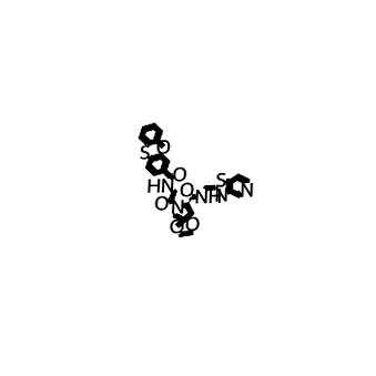 O=C(NCC(=O)N1CC2(C[C@H]1C(=O)NCc1nc3cnccc3s1)OCCO2)c1ccc2c(c1)Oc1ccccc1S2